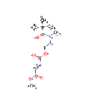 COC(=O)/C=C/C(=O)OCCN(C)C(=O)C(C)(C)C